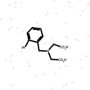 CC(C)c1ccccc1CN(CC(=O)O)CC(=O)O